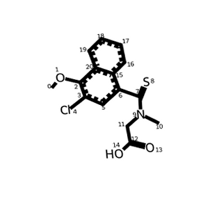 COc1c(Cl)cc(C(=S)N(C)CC(=O)O)c2ccccc12